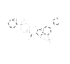 O=C(c1nc2c(C(F)(F)F)cc(-c3ccoc3)cn2c1Cl)N1CCC(O)(c2ncccc2F)CC1